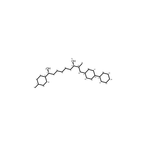 CC1CCC([C@@H](O)CCCCC[C@@H](O)C(C)CC2CCC(C3CCCCC3)CC2)CC1